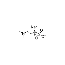 CN(C)CCNS(=O)(=O)[O-].[Na+]